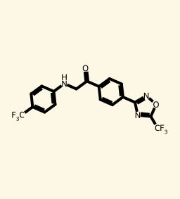 O=C(CNc1ccc(C(F)(F)F)cc1)c1ccc(-c2noc(C(F)(F)F)n2)cc1